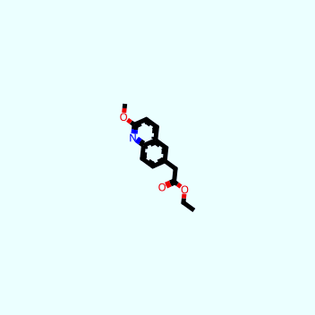 CCOC(=O)Cc1ccc2nc(OC)ccc2c1